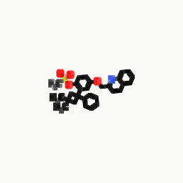 CC1(C)CC(c2ccccc2)(c2cc(OCc3ccc4ccccc4n3)ccc2OS(=O)(=O)C(F)(F)F)C1